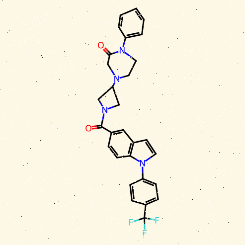 O=C(c1ccc2c(ccn2-c2ccc(C(F)(F)F)cc2)c1)N1CC(N2CCN(c3ccccc3)C(=O)C2)C1